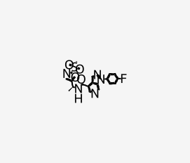 C[C@H](NC(=O)c1cncc2c1cnn2-c1ccc(F)cc1)c1cnc(S(C)(=O)=O)o1